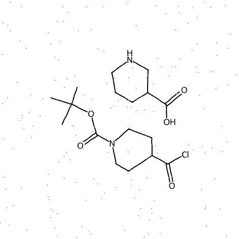 CC(C)(C)OC(=O)N1CCC(C(=O)Cl)CC1.O=C(O)C1CCCNC1